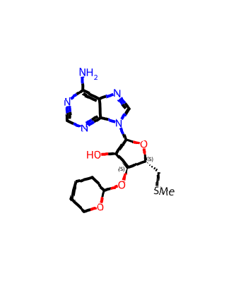 CSC[C@H]1OC(n2cnc3c(N)ncnc32)C(O)[C@@H]1OC1CCCCO1